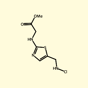 COC(=O)CNc1ncc(CNCl)s1